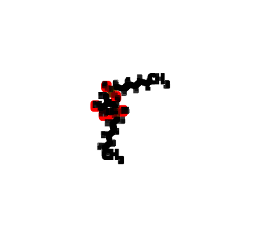 CCCCC=CCS(=O)(=O)CC(CS(=O)(=O)CC=CCCCC)C(=O)O